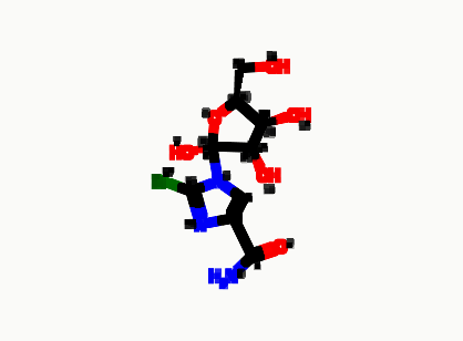 NC(=O)c1cn([C@@]2(O)O[C@H](CO)[C@@H](O)[C@H]2O)c(Br)n1